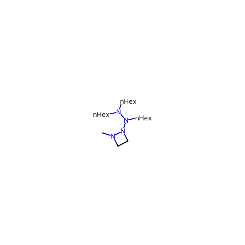 CCCCCCN(CCCCCC)N(CCCCCC)N1CCN1C